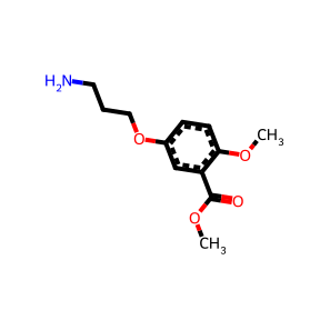 COC(=O)c1cc(OCCCN)ccc1OC